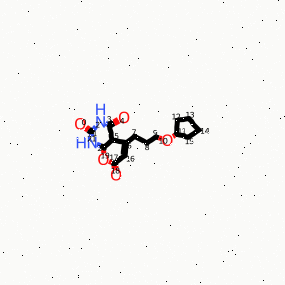 O=C1NC(=O)C2C(CCCOC3CCCC3)=CC(=O)OC2N1